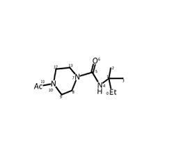 CCC(C)(C)NC(=O)N1CCN(C(C)=O)CC1